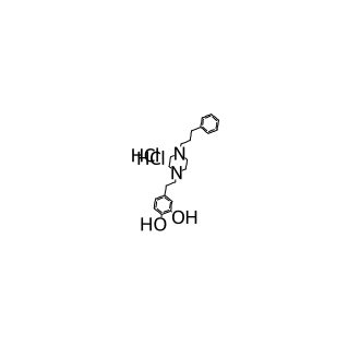 Cl.Cl.Oc1ccc(CCN2CCN(CCCc3ccccc3)CC2)cc1O